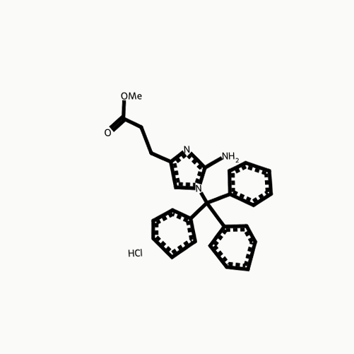 COC(=O)CCc1cn(C(c2ccccc2)(c2ccccc2)c2ccccc2)c(N)n1.Cl